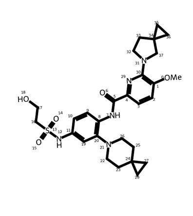 COc1ccc(C(=O)Nc2ccc(NS(=O)(=O)CCO)cc2N2CCC3(CC2)CC3)nc1N1CCC2(CC2)C1